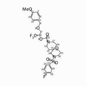 COc1ccc(COCC(OC(=O)N2CCC3(CC2)CN(S(=O)(=O)c2ccc(F)cc2)CCO3)C(F)(F)F)cc1